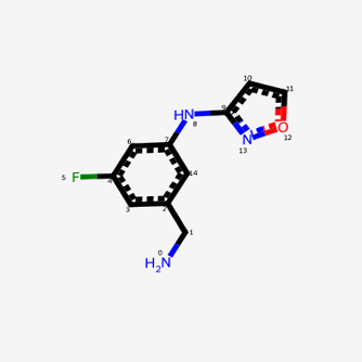 NCc1cc(F)cc(Nc2ccon2)c1